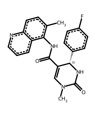 Cc1ccc2ncccc2c1NC(=O)C1=CN(C)C(=O)N[C@H]1c1ccc(F)cc1